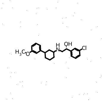 COc1cccc(C2CCCC(NC[C@H](O)c3cccc(Cl)c3)C2)c1